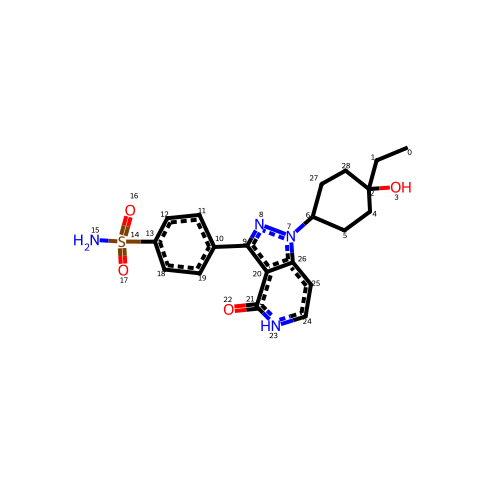 CCC1(O)CCC(n2nc(-c3ccc(S(N)(=O)=O)cc3)c3c(=O)[nH]ccc32)CC1